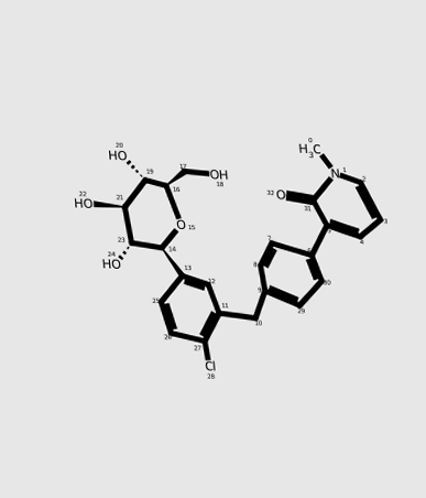 Cn1cccc(-c2ccc(Cc3cc([C@@H]4O[C@H](CO)[C@@H](O)[C@H](O)[C@H]4O)ccc3Cl)cc2)c1=O